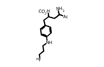 CC(=O)C(N)CC(Cc1ccc(NCCC[18F])cc1)C(=O)O